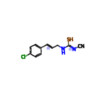 N#C/N=C(\S)NC/C=C/c1ccc(Cl)cc1